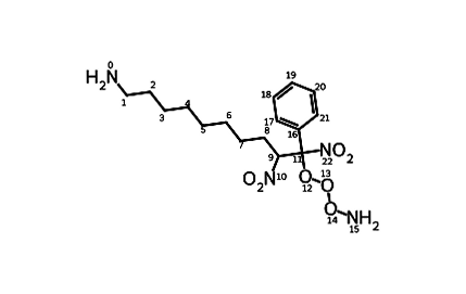 NCCCCCCCCC([N+](=O)[O-])C(OOON)(c1ccccc1)[N+](=O)[O-]